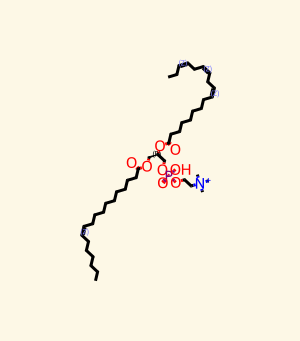 CC/C=C\C/C=C\C/C=C\CCCCCCCC(=O)O[C@H](COC(=O)CCCCCCCCC/C=C\CCCCCC)COP(=O)(O)OCC[N+](C)(C)C